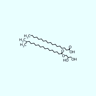 CC(C)CCCCCCCCCCCCCCC(=O)OCC(O)CO.CCCCCCCCCCCCCCCCCC(=O)O